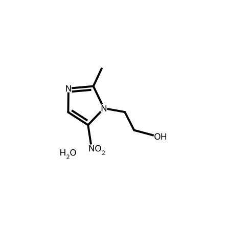 Cc1ncc([N+](=O)[O-])n1CCO.O